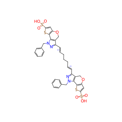 O=S(=O)(O)c1cc2c(s1)-c1c(c(/C=C/CCC/C=C/c3nn(Cc4ccccc4)c4c3COc3cc(S(=O)(=O)O)sc3-4)nn1Cc1ccccc1)CO2